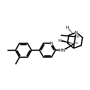 Cc1ccc(-c2ccc(N[C@H]3C4CCN(CC4)[C@@H]3C)nc2)cc1C